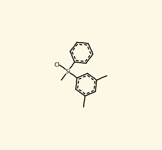 Cc1cc(C)cc([Si](C)(Cl)c2ccccc2)c1